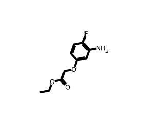 CCOC(=O)COc1ccc(F)c(N)c1